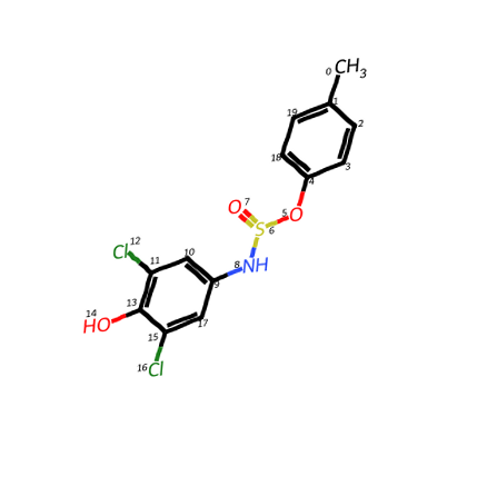 Cc1ccc(OS(=O)Nc2cc(Cl)c(O)c(Cl)c2)cc1